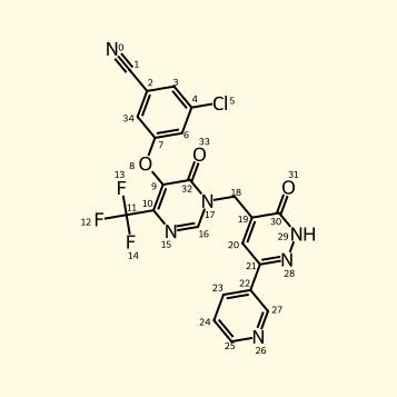 N#Cc1cc(Cl)cc(Oc2c(C(F)(F)F)ncn(Cc3cc(-c4cccnc4)n[nH]c3=O)c2=O)c1